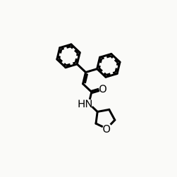 O=C(C=C(c1ccccc1)c1ccccc1)NC1CCOC1